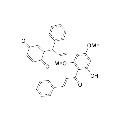 C=CC(C1=CC(=O)C=CC1=O)c1ccccc1.COc1cc(O)c(C(=O)C=Cc2ccccc2)c(OC)c1